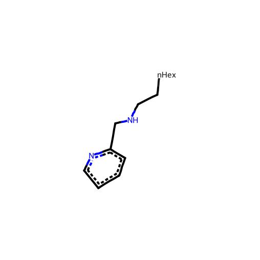 CCCCCCCCNCc1ccccn1